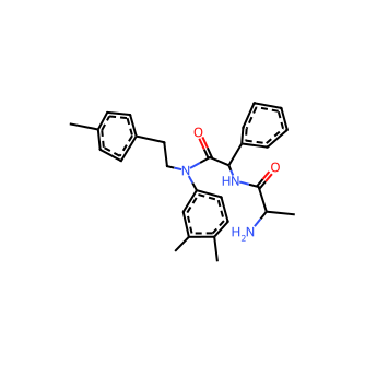 Cc1ccc(CCN(C(=O)C(NC(=O)C(C)N)c2ccccc2)c2ccc(C)c(C)c2)cc1